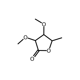 COC1C(=O)OC(C)C1OC